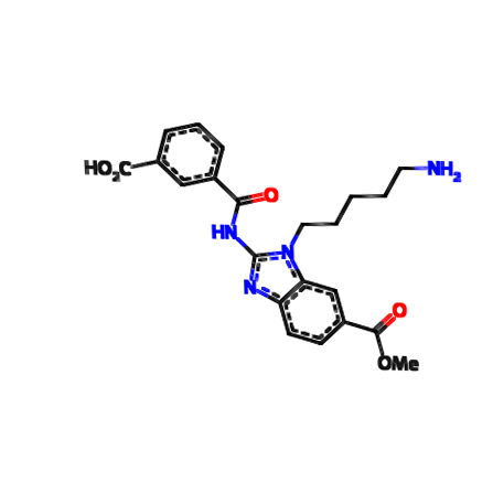 COC(=O)c1ccc2nc(NC(=O)c3cccc(C(=O)O)c3)n(CCCCCN)c2c1